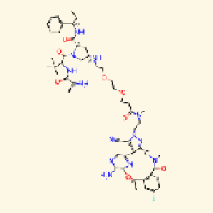 CC[C@@H](NC(=O)[C@@H]1C[C@H](NCCOCCOCCC(=O)N(C)CCn2nc3c(c2C#N)-c2cnc(N)c(n2)O[C@H](C)c2cc(F)ccc2C(=O)N(C)C3)CN1C(=O)C(NC(=O)[C@H](C)NC)C(C)(C)C)c1ccccc1